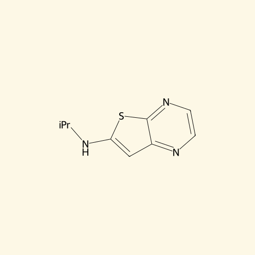 CC(C)Nc1cc2nccnc2s1